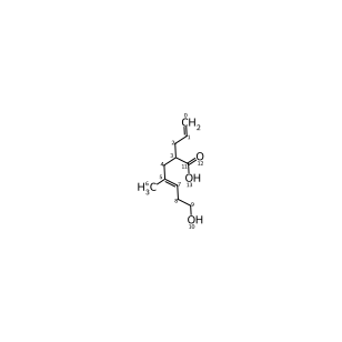 C=CCC(CC(C)=CCCO)C(=O)O